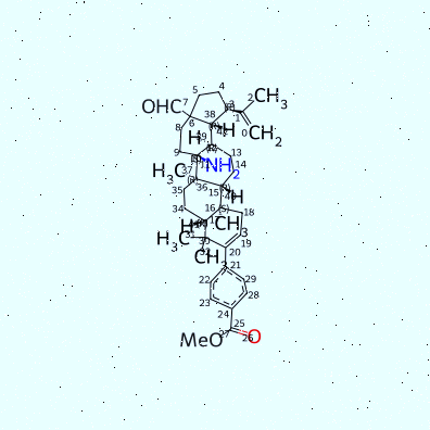 C=C(C)[C@@H]1CCC2(C=O)CC[C@]3(N)[C@H](CC[C@@H]4[C@@]5(C)CC=C(c6ccc(C(=O)OC)cc6)C(C)(C)[C@@H]5CC[C@]43C)[C@@H]12